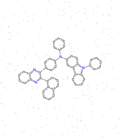 c1ccc(N(c2ccc(-c3nc4ccccc4nc3-c3cccc4ccccc34)cc2)c2ccc3c(c2)c2ccccc2n3-c2ccccc2)cc1